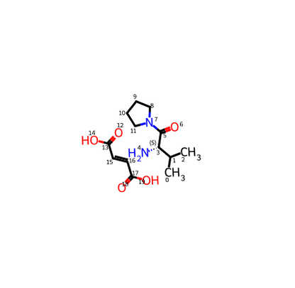 CC(C)[C@H](N)C(=O)N1CCCC1.O=C(O)C=CC(=O)O